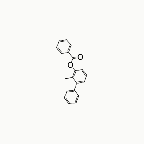 Cc1c(OC(=O)c2ccccc2)cccc1-c1ccccc1